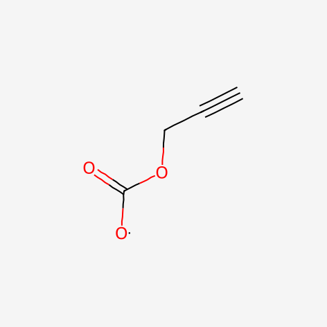 C#CCOC([O])=O